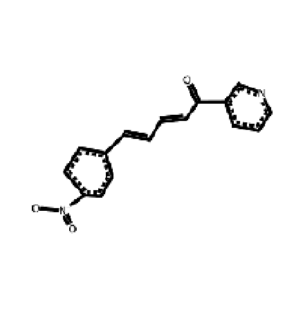 O=C(/C=C/C=C/c1ccc([N+](=O)[O-])cc1)c1cccnc1